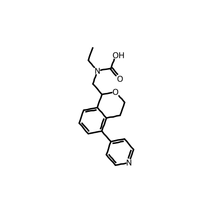 CCN(CC1OCCc2c(-c3ccncc3)cccc21)C(=O)O